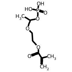 C=C(C)C(=O)OCCOC(C)OP(=O)(O)O